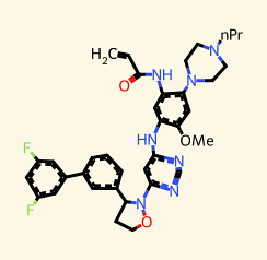 C=CC(=O)Nc1cc(Nc2cc(N3OCCC3c3cccc(-c4cc(F)cc(F)c4)c3)ncn2)c(OC)cc1N1CCN(CCC)CC1